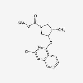 CC1CN(C(=O)OC(C)(C)C)CC1Oc1nc(Cl)cc2ccccc12